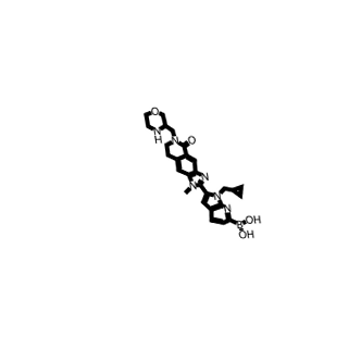 Cn1c(-c2cc3ccc(B(O)O)nc3n2CC2CC2)nc2cc3c(cc21)CCN(CC1COCCN1)C3=O